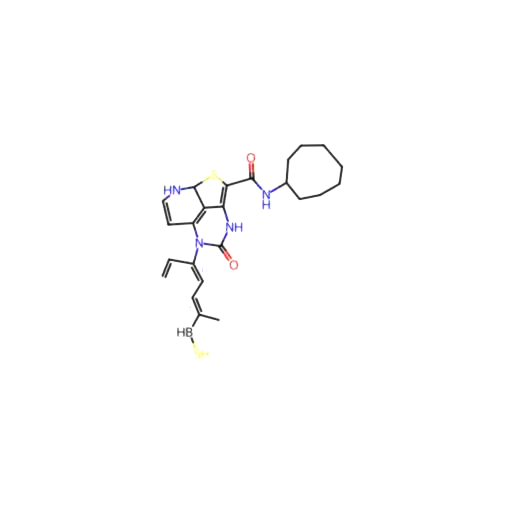 C=C/C(=C\C=C(/C)BS)N1C(=O)NC2=C(C(=O)NC3CCCCCCC3)SC3NC=CC1=C23